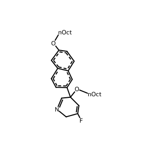 CCCCCCCCOc1ccc2cc(C3(OCCCCCCCC)C=NCC(F)=C3)ccc2c1